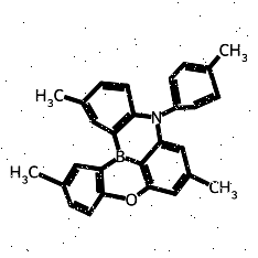 Cc1ccc(N2c3ccc(C)cc3B3c4cc(C)ccc4Oc4cc(C)cc2c43)cc1